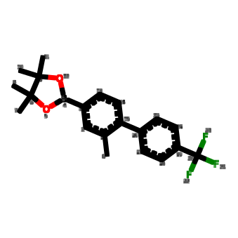 Cc1cc(B2OC(C)(C)C(C)(C)O2)ccc1-c1ccc(C(F)(F)F)cc1